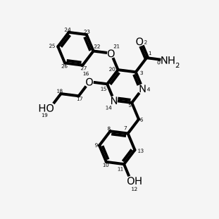 NC(=O)c1nc(Cc2cccc(O)c2)nc(OCCO)c1Oc1ccccc1